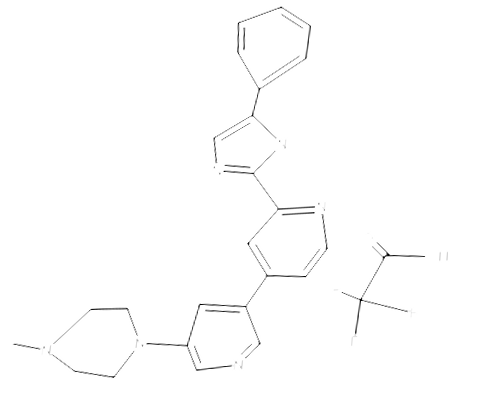 CN1CCN(c2cncc(-c3ccnc(-c4ncc(-c5ccccc5)[nH]4)c3)c2)CC1.O=C(O)C(F)(F)F